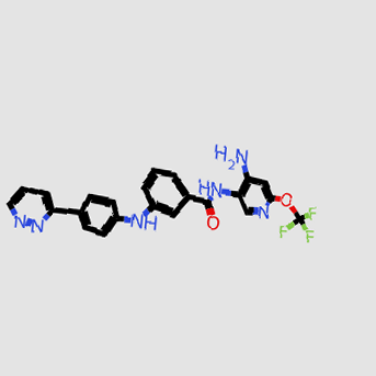 Nc1cc(OC(F)(F)F)ncc1NC(=O)c1cccc(Nc2ccc(-c3cccnn3)cc2)c1